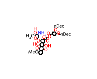 CCCCCCCCCCCOc1ccc(C(=O)OCC(=O)[C@]2(O)Cc3c(O)c4c(c(O)c3[C@@H](O[C@H]3C[C@H](N)[C@H](O)[C@H](C)O3)C2)C(=O)c2c(OC)cccc2C4=O)cc1OCCCCCCCCCCC